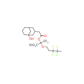 CCOC(=O)C(OCCC(F)(F)C(C)(F)F)(OC(=O)CC1CC2CCCC(O)(C2)C1)C(F)(F)F